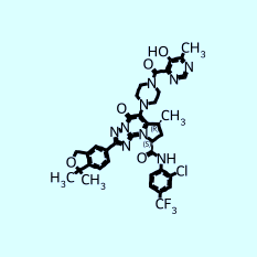 Cc1ncnc(C(=O)N2CCN(c3c4n(c5nc(-c6ccc7c(c6)COC7(C)C)nn5c3=O)[C@H](C(=O)Nc3ccc(C(F)(F)F)cc3Cl)C[C@H]4C)CC2)c1O